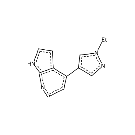 [CH2]Cn1cc(-c2ccnc3[nH]ccc23)cn1